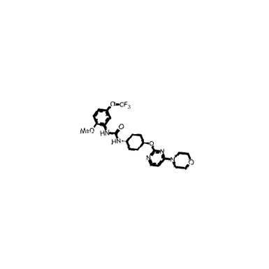 COc1ccc(OC(F)(F)F)cc1NC(=O)N[C@H]1CC[C@H](Oc2nccc(N3CCOCC3)n2)CC1